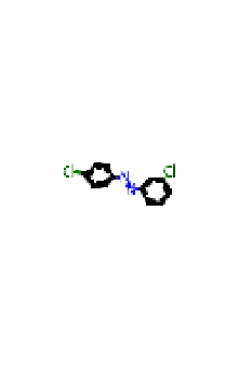 Clc1ccc(/N=N/c2cccc(Cl)c2)cc1